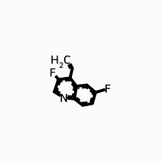 C=Cc1c(F)cnc2ccc(F)cc12